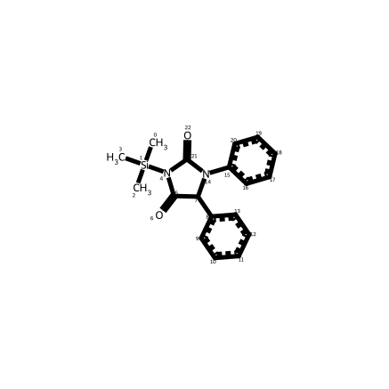 C[Si](C)(C)N1C(=O)C(c2ccccc2)N(c2ccccc2)C1=O